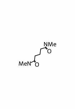 CNC(=O)CCCC(=O)NC